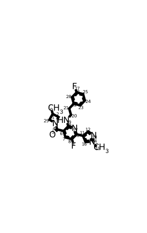 CC1CN(C(=O)c2cc(F)c(-c3cnn(C)c3)nc2NCCc2cccc(F)c2)C1